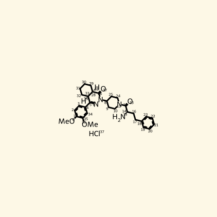 COc1ccc(C2=NN(C3CCN(C(=O)[C@H](N)CCc4ccccc4)CC3)C(=O)[C@@H]3CCCC[C@H]23)cc1OC.Cl